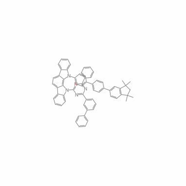 CC1(C)CC(C)(C)c2cc(-c3ccc(-c4ccc(-n5c6ccccc6c6ccc7c8ccccc8n(-c8nc(-c9ccccc9)nc(-c9cccc(-c%10ccccc%10)c9)n8)c7c65)cc4)cc3)ccc21